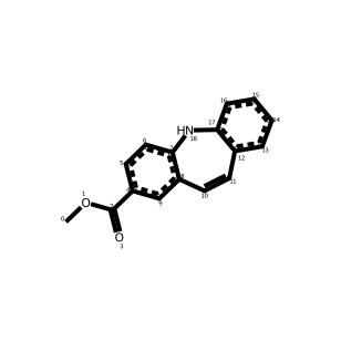 COC(=O)c1ccc2c(c1)C=Cc1ccccc1N2